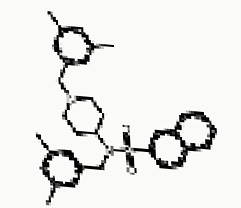 Cc1cc(C)cc(CN2CCC(N(Cc3cc(C)cc(C)c3)S(=O)(=O)c3ccc4ccccc4c3)CC2)c1